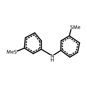 CSc1cccc(Nc2cccc(SC)c2)c1